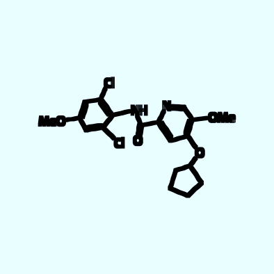 COc1cc(Cl)c(NC(=O)c2cc(OC3CCCC3)c(OC)cn2)c(Cl)c1